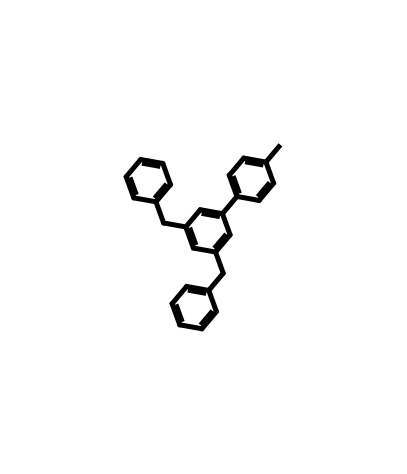 Cc1ccc(-c2cc(Cc3ccccc3)cc(Cc3ccccc3)c2)cc1